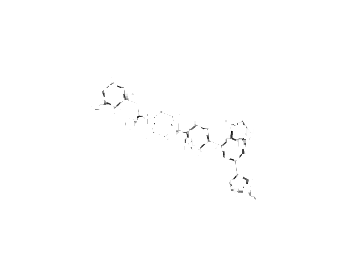 Cn1cc(-c2cc(-c3ccc(N4CCN(C(=O)Cc5cccc(Cl)c5)CC4)nc3)c3ccnn3c2)cn1